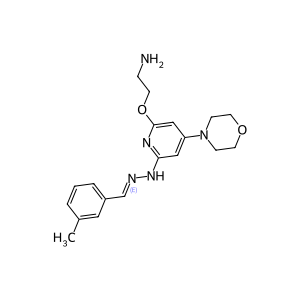 Cc1cccc(/C=N/Nc2cc(N3CCOCC3)cc(OCCN)n2)c1